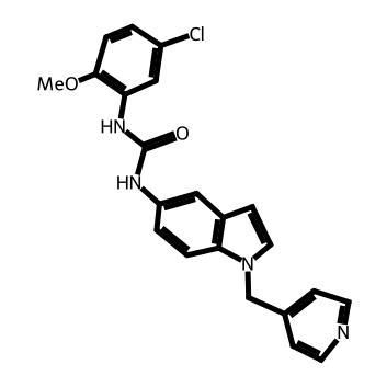 COc1ccc(Cl)cc1NC(=O)Nc1ccc2c(ccn2Cc2ccncc2)c1